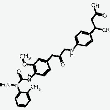 COc1cc(CC(=O)CNc2ccc(C(C)CC(=O)O)cc2)ccc1NC(=O)N(C)c1ccccc1C